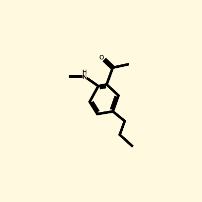 CCCc1ccc(NC)c(C(C)=O)c1